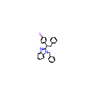 Ic1ccc(C(Cc2ccccc2)c2nc3ccccc3n2Cc2ccccc2)cc1